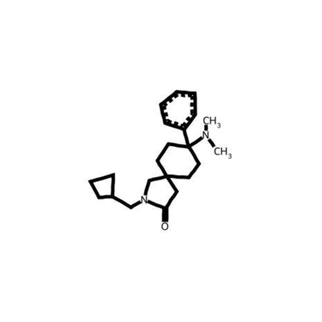 CN(C)C1(c2ccccc2)CCC2(CC1)CC(=O)N(CC1CCC1)C2